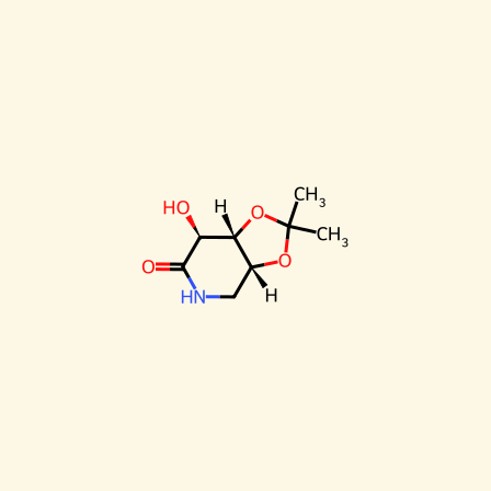 CC1(C)O[C@H]2[C@H](O)C(=O)NC[C@H]2O1